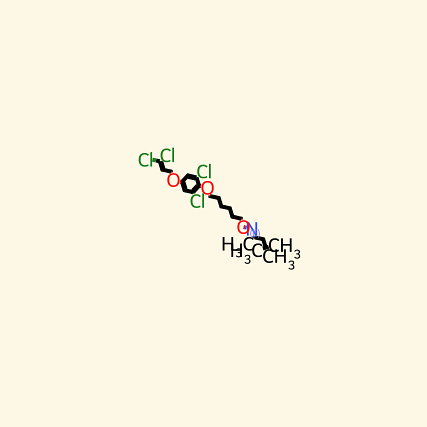 C/C(CC(C)(C)C)=N\OCCCCCCOc1c(Cl)cc(OCC=C(Cl)Cl)cc1Cl